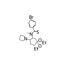 CCOC1(OCC)CCC(N2CCCC2)C(N(C)C(=S)c2ccc(Br)cc2)C1